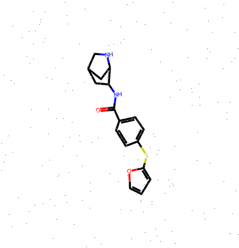 O=C(NC1CC2CNC1C2)c1ccc(Sc2ccco2)cc1